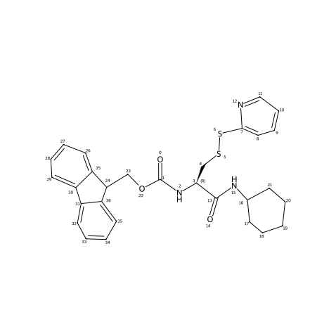 O=C(N[C@@H](CSSc1ccccn1)C(=O)NC1CCCCC1)OCC1c2ccccc2-c2ccccc21